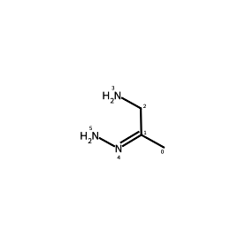 CC(CN)=NN